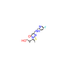 Cc1sc2nc(CNCc3ccc(F)cn3)cc(=O)n2c1C1CC1CO